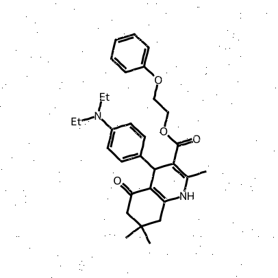 CCN(CC)c1ccc(C2C(C(=O)OCCOc3ccccc3)=C(C)NC3=C2C(=O)CC(C)(C)C3)cc1